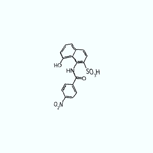 O=C(Nc1c(S(=O)(=O)O)ccc2cccc(O)c12)c1ccc([N+](=O)[O-])cc1